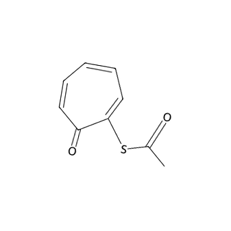 CC(=O)Sc1cccccc1=O